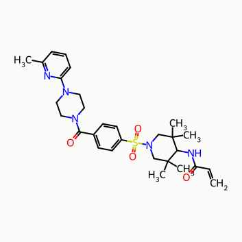 C=CC(=O)NC1C(C)(C)CN(S(=O)(=O)c2ccc(C(=O)N3CCN(c4cccc(C)n4)CC3)cc2)CC1(C)C